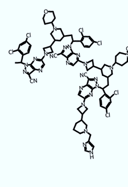 CC(c1ccc(Cl)cc1Cl)n1nc(C#N)c2ncc(N3CC(C4CC(CC(c5ccc(Cl)cc5Cl)n5nc(C#N)c6ncc(N7CC(C8CC(CC(c9ccc(Cl)cc9Cl)n9nc(C#N)c%10ncc(N%11CC(C%12CCCN(Cc%13c[nH]cn%13)C%12)C%11)nc%109)CN(C9CCS(=O)(=O)CC9)C8)C7)nc65)CN(C5CCOCC5)C4)C3)nc21